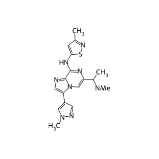 CNC(C)c1cn2c(-c3cnn(C)c3)cnc2c(Nc2cc(C)ns2)n1